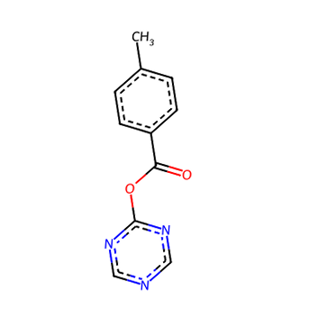 Cc1ccc(C(=O)Oc2ncncn2)cc1